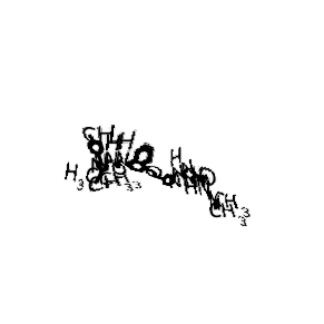 Cc1ccc(-n2nc(C(C)(C)C)cc2NC(=O)Nc2ccc(OCc3ccnc(Nc4cnc(C(=O)NCCN(C)C)cn4)c3)c3ccccc23)cc1